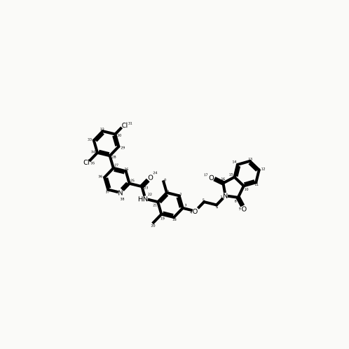 Cc1cc(OCCN2C(=O)c3ccccc3C2=O)cc(C)c1NC(=O)c1cc(-c2cc(Cl)ccc2Cl)ccn1